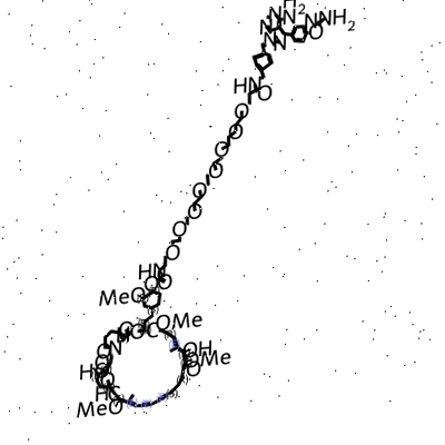 COC1C[C@@H]([C@H](C)C[C@@H]2CC[C@@H](OC(=O)NCCOCCOCCOCCOCCOCCOCCOCCOCCC(=O)NCc3ccc(Cn4nc(-c5ccc6oc(N)nc6c5)c5c(N)ncnc54)cc3)[C@H](OC)C2)OC(=O)[C@@H]2CCCCN2C(=O)C(=O)[C@]2(O)O[C@@H](CC[C@H]2C)C[C@H](OC)/C(C)=C/C=C/C=C/[C@@H](C)C[C@@H](C)C(=O)[C@H](OC)[C@H](O)/C(C)=C/[C@H]1C